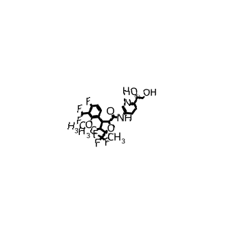 COc1c(C2C(C(=O)Nc3ccc([C@H](O)CO)nc3)OC(C)(C(F)(F)F)C2C)ccc(F)c1C(F)F